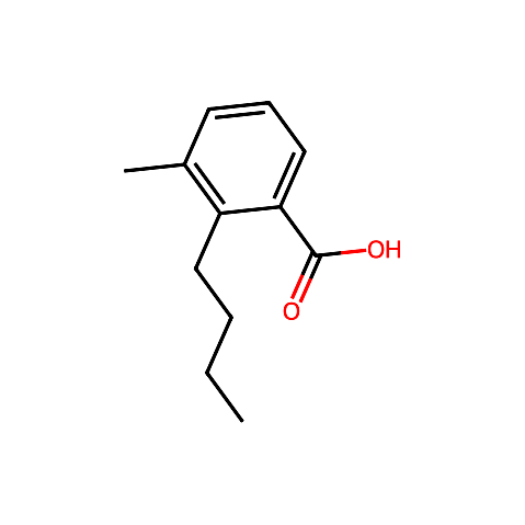 CCCCc1c(C)cccc1C(=O)O